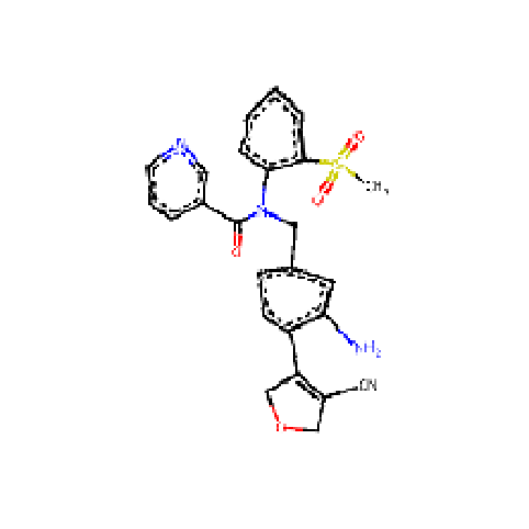 CS(=O)(=O)c1ccccc1N(Cc1ccc(C2=C(C#N)COC2)c(N)c1)C(=O)c1cccnc1